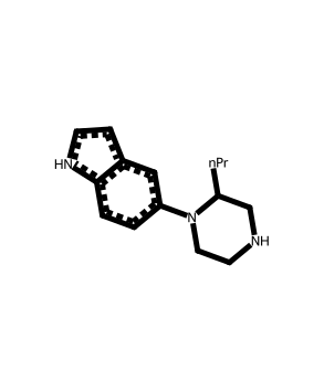 CCCC1CNCCN1c1ccc2[nH]ccc2c1